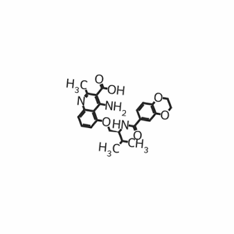 Cc1nc2cccc(OC[C@@H](NC(=O)c3ccc4c(c3)OCCO4)C(C)C)c2c(N)c1C(=O)O